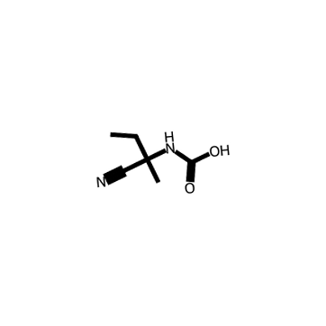 CCC(C)(C#N)NC(=O)O